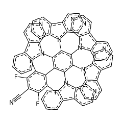 N#Cc1c(F)c(F)c(-c2c(-n3c4ccccc4c4ccncc43)c(-n3c4ccccc4c4ccncc43)c(-n3c4ccccc4c4ccncc43)c(-n3c4ccccc4c4ccncc43)c2-n2c3ccccc3c3ccncc32)c(F)c1F